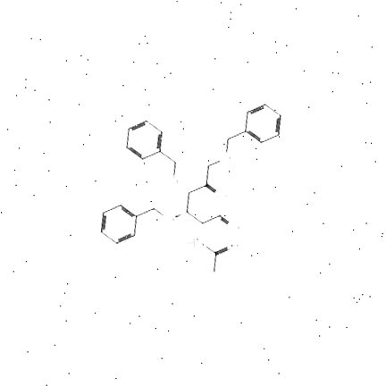 CC(=O)N[C@@H](C=O)[C@@H](OCc1ccccc1)[C@H](OCc1ccccc1)C(=O)COCc1ccccc1